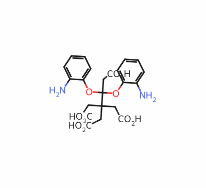 Nc1ccccc1OC(CC(=O)O)(Oc1ccccc1N)C(CC(=O)O)(CC(=O)O)CC(=O)O